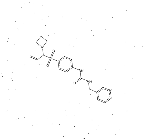 C=CC(N1CCC1)S(=O)(=O)c1ccc(NC(=O)NCc2cccnc2)cc1